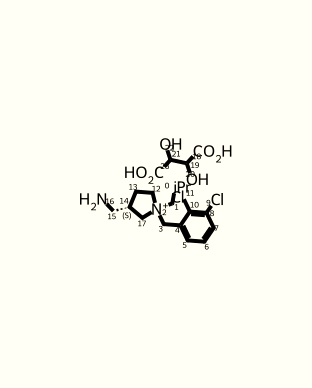 CC(C)C[N+]1(Cc2cccc(Cl)c2Cl)CC[C@@H](CN)C1.O=C(O)C(O)C(O)C(=O)O